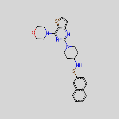 c1ccc2cc(SNC3CCN(c4nc(N5CCOCC5)c5sccc5n4)CC3)ccc2c1